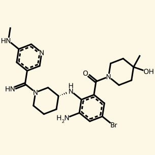 CNc1cncc(C(=N)N2CCC[C@@H](Nc3c(N)cc(Br)cc3C(=O)N3CCC(C)(O)CC3)C2)c1